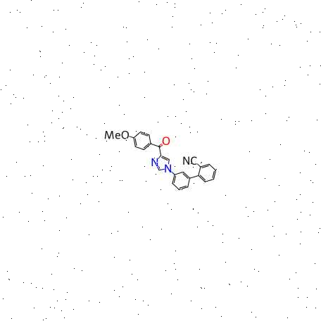 COc1ccc(C(=O)c2cn(-c3cccc(-c4ccccc4C#N)c3)cn2)cc1